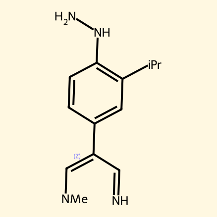 CN/C=C(\C=N)c1ccc(NN)c(C(C)C)c1